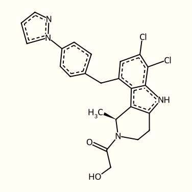 C[C@H]1c2c([nH]c3c(Cl)c(Cl)cc(Cc4ccc(-n5cccn5)cc4)c23)CCN1C(=O)CO